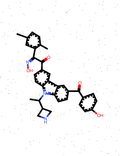 Cc1ccc(C)c(/C(=N/O)C(=O)c2ccc3c(c2)c2cc(C(=O)c4ccc(O)cc4)ccc2n3C(C)C2CNC2)c1